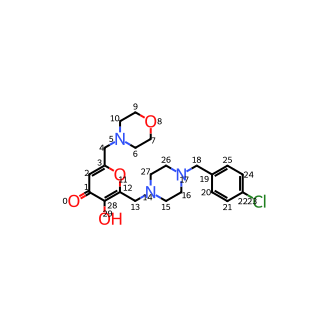 O=c1cc(CN2CCOCC2)oc(CN2CCN(Cc3ccc(Cl)cc3)CC2)c1O